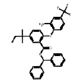 CCC(C)(C)c1ccc(Oc2ccc(C(F)(F)F)cc2N)c(C(=O)OC(c2ccccc2)c2ccccc2)c1